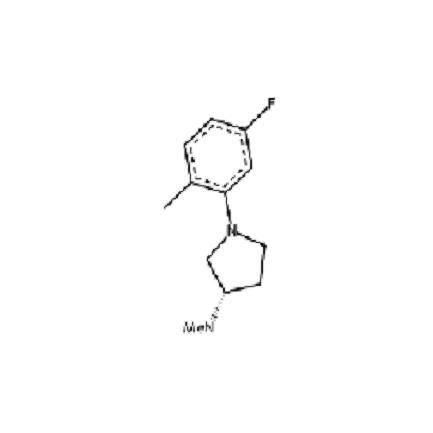 CN[C@H]1CCN(c2cc(F)ccc2C)C1